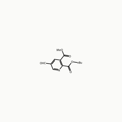 CCCCOC(=O)c1ncc(C=O)cc1C(=O)OC